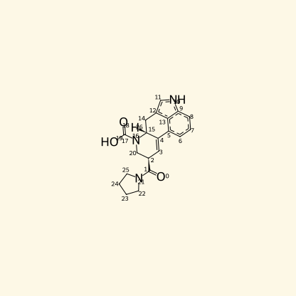 O=C([C@@H]1C=C2c3cccc4[nH]cc(c34)C[C@H]2N(C(=O)O)C1)N1CCCC1